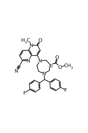 COC(=O)[C@@H]1CN(c2cc(=O)n(C)c3ccc(C#N)nc23)CCN(C(c2ccc(F)cc2)c2ccc(F)cc2)C1